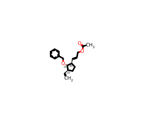 C=C[C@@H]1CC[C@H](C=CCOC(C)=O)[C@H]1OCc1ccccc1